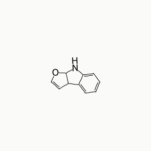 C1=CC2c3ccccc3NC2O1